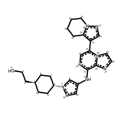 OCC[C@H]1CC[C@H](n2cc(Nc3ncc(-c4cnn5c4CCCC5)n4ccnc34)cn2)CC1